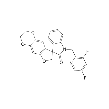 O=C1N(Cc2ncc(F)cc2F)c2ccccc2C12COc1cc3c(cc12)OCCO3